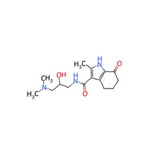 Cc1[nH]c2c(c1C(=O)NCC(O)CN(C)C)CCCC2=O